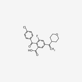 C=C(c1cc(F)c(C(=O)c2ccc(Cl)cc2)c(C(=O)O)c1)C1CCOCC1